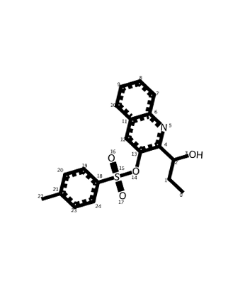 CCC(O)c1nc2ccccc2cc1OS(=O)(=O)c1ccc(C)cc1